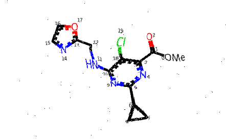 COC(=O)c1nc(C2CC2)nc(NCc2ncco2)c1Cl